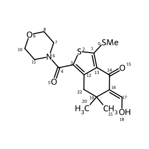 CSc1sc(C(=O)N2CCOCC2)c2c1C(=O)C(=CO)C(C)(C)C2